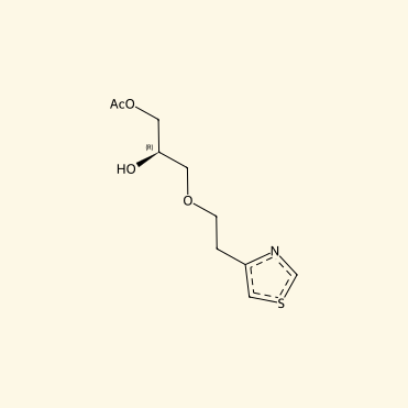 CC(=O)OC[C@H](O)COCCc1cscn1